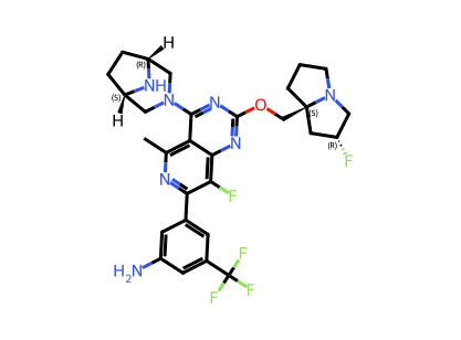 Cc1nc(-c2cc(N)cc(C(F)(F)F)c2)c(F)c2nc(OC[C@@]34CCCN3C[C@H](F)C4)nc(N3C[C@H]4CC[C@@H](C3)N4)c12